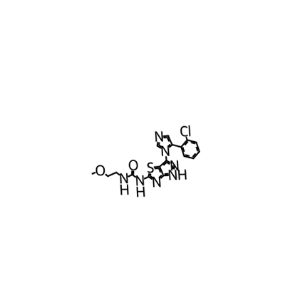 COCCNC(=O)Nc1nc2[nH]nc(-n3cncc3-c3ccccc3Cl)c2s1